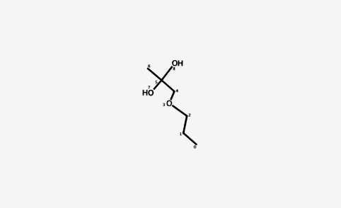 CCCOCC(C)(O)O